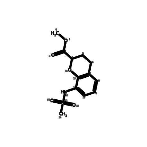 COC(=O)C1CCc2cccc(NS(C)(=O)=O)c2O1